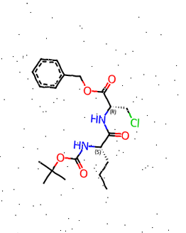 CCC[C@H](NC(=O)OC(C)(C)C)C(=O)N[C@@H](CCl)C(=O)OCc1ccccc1